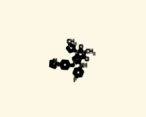 CN1CCC(n2c(=O)n(C)c(=O)c3c(Nc4ccc(F)cc4)n(Cc4ccc(-n5cccn5)cc4)cc32)C1